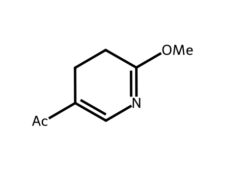 COC1=NC=C(C(C)=O)CC1